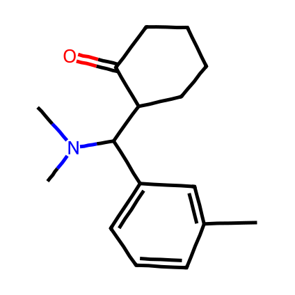 Cc1cccc(C(C2CCCCC2=O)N(C)C)c1